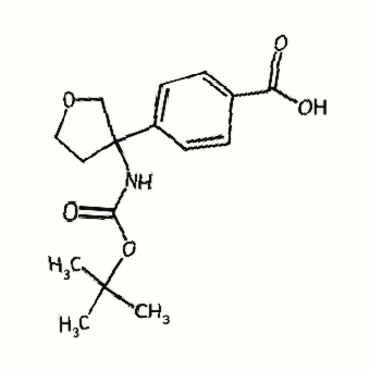 CC(C)(C)OC(=O)NC1(c2ccc(C(=O)O)cc2)CCOC1